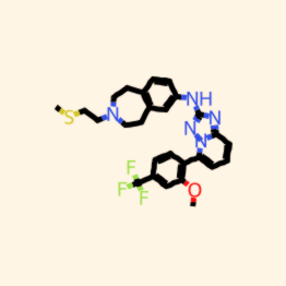 COc1cc(C(F)(F)F)ccc1-c1cccc2nc(Nc3ccc4c(c3)CCN(CCSC)CC4)nn12